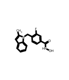 Cc1cc2ccccc2n1Cc1ccc(C(=O)NO)cc1F